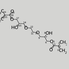 C=C(C)C(=O)OCC(O)CO[CH]COCC(O)COC(=O)C(=C)C